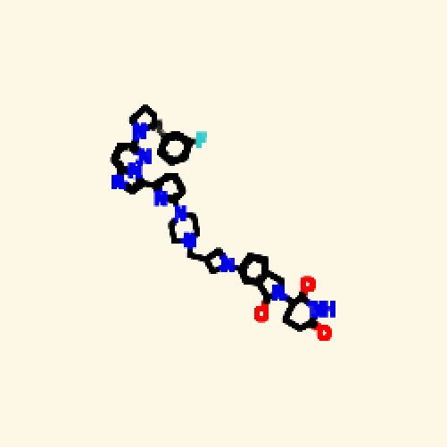 O=C1CCC(N2Cc3ccc(N4CC(CN5CCN(c6cccc(-c7cnc8ccc(N9CCC[C@@H]9c9cccc(F)c9)nn78)n6)CC5)C4)cc3C2=O)C(=O)N1